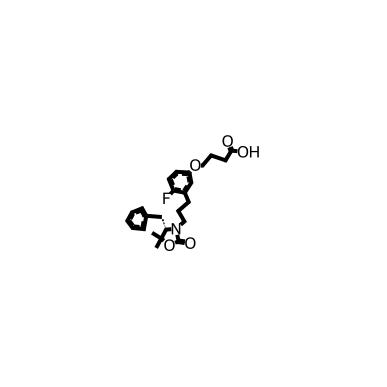 CC1(C)OC(=O)N(CCCc2cc(OCCCC(=O)O)ccc2F)[C@H]1Cc1ccccc1